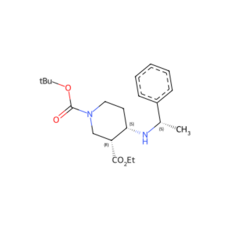 CCOC(=O)[C@@H]1CN(C(=O)OC(C)(C)C)CC[C@@H]1N[C@@H](C)c1ccccc1